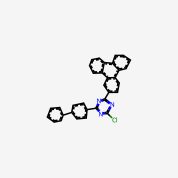 Clc1nc(-c2ccc(-c3ccccc3)cc2)nc(-c2ccc3c4ccccc4c4ccccc4c3c2)n1